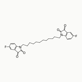 O=C1C(=O)N(CCCCCCCCCCCCN2C(=O)C(=O)c3cc(F)ccc32)c2ccc(F)cc21